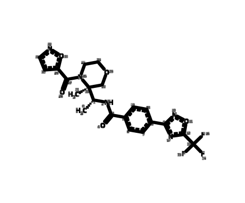 C[C@@H](NC(=O)c1ccc(-c2noc(C(F)(F)F)n2)cc1)[C@]1(C)COCCN1C(=O)c1ccno1